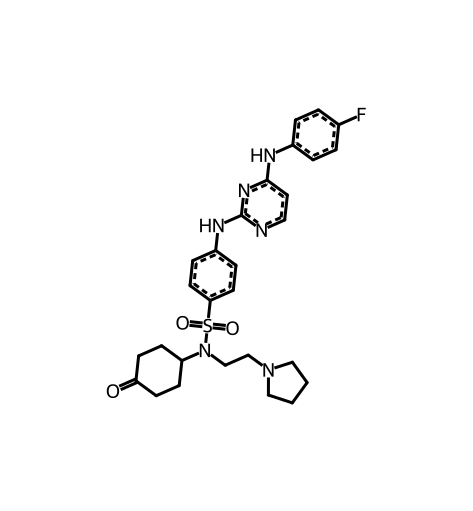 O=C1CCC(N(CCN2CCCC2)S(=O)(=O)c2ccc(Nc3nccc(Nc4ccc(F)cc4)n3)cc2)CC1